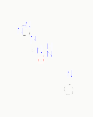 C[C@@H]1CN(c2cncnc2)CCN1C(=O)NCCC1CCN(Cc2ccccc2)CC1